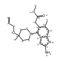 C=CCOC1(C)CCN(c2c(CC(=O)OC)c(C)cc3nc(N)cn23)CC1